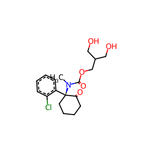 CN(C(=O)OCC(CO)CO)[C@]1(c2ccccc2Cl)CCCCC1=O